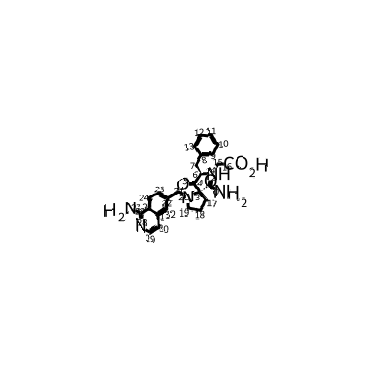 NC(=O)[C@]1(C(=O)[C@@H](Cc2ccccc2)NCC(=O)O)CCCN1Cc1ccc2c(N)nccc2c1